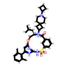 Cc1cccc(C)c1-c1cc2nc(n1)NS(=O)(=O)c1cccc(c1)C(=O)N(C1CC3(CCN(C4CCC4)CC3)C1)[C@H](CC(C)C)CO2